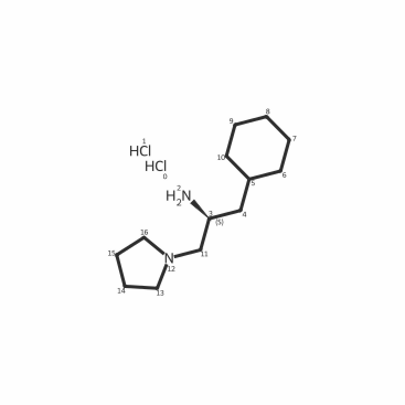 Cl.Cl.N[C@@H](CC1CCCCC1)CN1CCCC1